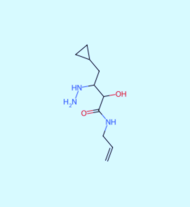 C=CCNC(=O)C(O)C(CC1CC1)NN